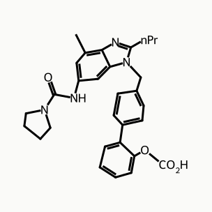 CCCc1nc2c(C)cc(NC(=O)N3CCCC3)cc2n1Cc1ccc(-c2ccccc2OC(=O)O)cc1